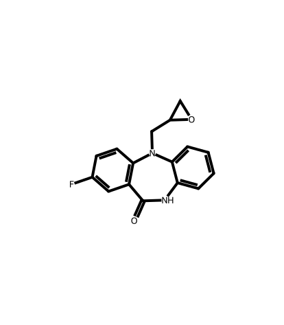 O=C1Nc2ccccc2N(CC2CO2)c2ccc(F)cc21